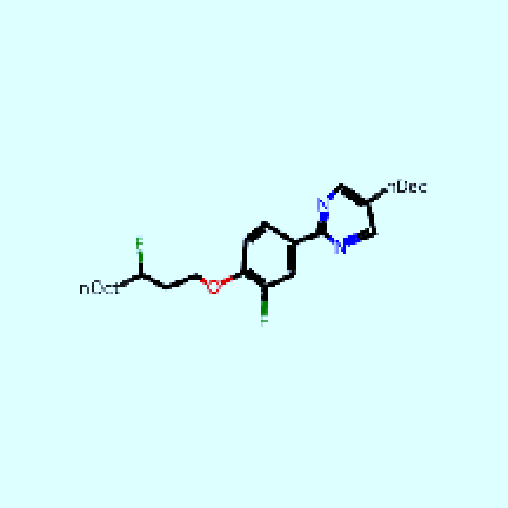 CCCCCCCCCCc1cnc(-c2ccc(OCCC(F)CCCCCCCC)c(F)c2)nc1